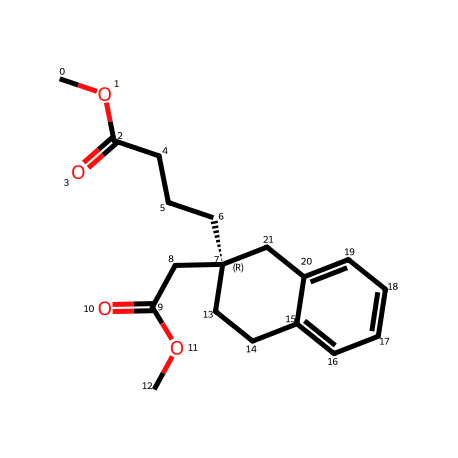 COC(=O)CCC[C@@]1(CC(=O)OC)CCc2ccccc2C1